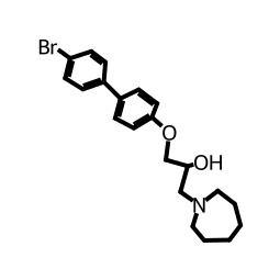 OC(COc1ccc(-c2ccc(Br)cc2)cc1)CN1CCCCCC1